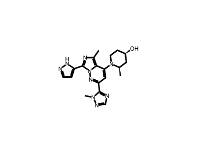 Cc1nc(-c2ccn[nH]2)n2nc(-c3ncnn3C)cc(N3CC[C@@H](O)C[C@H]3C)c12